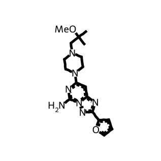 COC(C)(C)CN1CCN(c2cc3nc(-c4ccco4)nn3c(N)n2)CC1